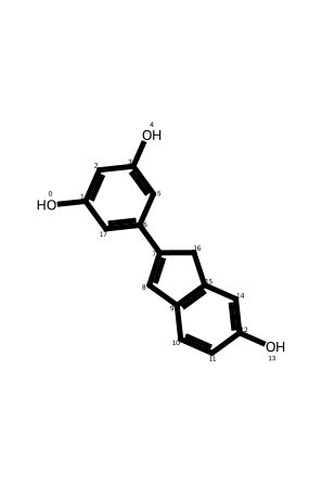 Oc1cc(O)cc(C2=Cc3ccc(O)cc3C2)c1